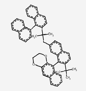 CC(C)(C)c1ccc2ccc(CC(C)(C)c3ccc4ccccc4c3-c3cccc4ccccc34)cc2c1-c1c2c(cc3ccccc13)OCCO2